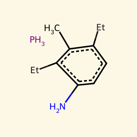 CCc1ccc(N)c(CC)c1C.P